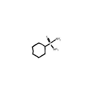 NP(N)(=S)C1CCCCC1